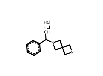 CC(c1ccccc1)N1CC2(CNC2)C1.Cl.Cl